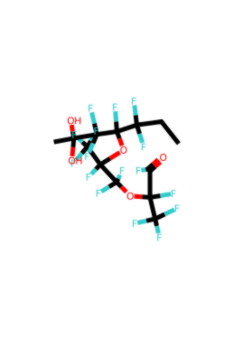 CCC(F)(F)C(F)(OC(F)(C(F)(F)F)C(F)(F)OC(F)(C(=O)F)C(F)(F)F)C(F)(F)C(C)(O)O